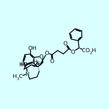 CN1CCC[C@]23c4c5ccc(O)c4O[C@H]2C(OC(=O)CCC(=O)O[C@H](C(=O)O)c2ccccc2)=CC[C@@]3(O)[C@H]1C5